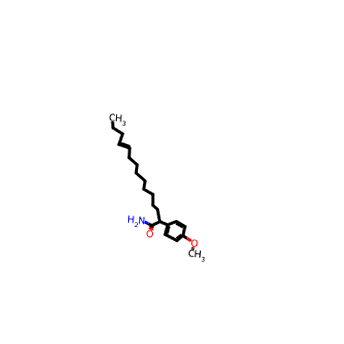 CCC/C=C/CCCCCCCCC(C(N)=O)c1ccc(OC)cc1